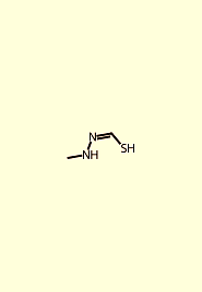 CN/N=C\S